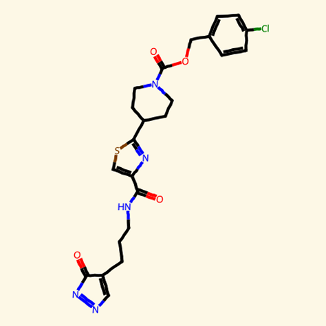 O=C1N=NC=C1CCCNC(=O)c1csc(C2CCN(C(=O)OCc3ccc(Cl)cc3)CC2)n1